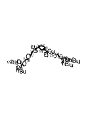 CCCCOCC(OCCCC)OCCOCCOC(=O)c1cccc(C(=O)OCCOCCOC(COCCCC)OCCCC)c1